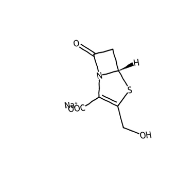 O=C([O-])C1=C(CO)S[C@H]2CC(=O)N12.[Na+]